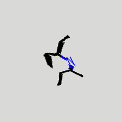 C=CC(=C/C)/N=C(/C)C=C